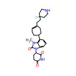 Cn1c(=O)n(C2CCC(=O)NC2=O)c2cccc(C3CCC=C(CCC4(F)CCNCC4)CC3)c21